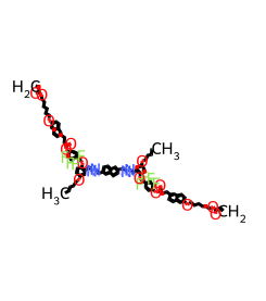 C=CC(=O)OCCCCCCOc1ccc2cc(CCC(=O)Oc3ccc(C(F)(F)Oc4ccc(OCCCCC)cc4/C=N/N=C/c4ccc5cc(/C=N/N=C/c6cc(OCCCCC)ccc6OC(F)(F)c6ccc(OC(=O)CCc7ccc8cc(OCCCCCCOC(=O)C=C)ccc8c7)c(F)c6F)ccc5c4)c(F)c3F)ccc2c1